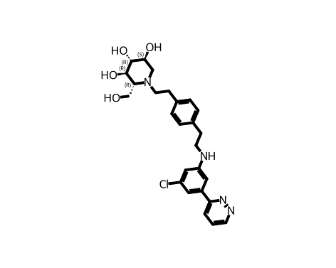 OC[C@@H]1[C@@H](O)[C@H](O)[C@@H](O)CN1CCc1ccc(CCNc2cc(Cl)cc(-c3cccnn3)c2)cc1